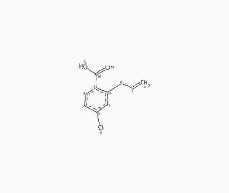 C=CCc1cc(Cl)ccc1C(=O)O